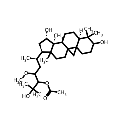 COC(C[C@@H](C)[C@H]1C[C@H](O)[C@@]2(C)C3CC[C@H]4C(C)(C)C(O)CCC45CC35CCC12C)C(OC(C)=O)C(C)(C)O